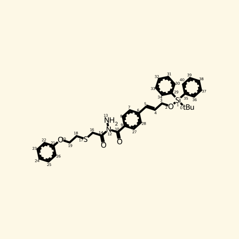 CC(C)(C)[Si](OCC=Cc1ccc(C(=O)N(N)C(=O)CSCCOc2ccccc2)cc1)(c1ccccc1)c1ccccc1